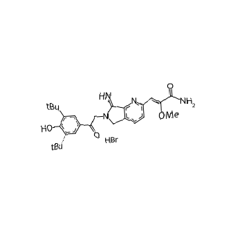 Br.CO/C(=C\c1ccc2c(n1)C(=N)N(CC(=O)c1cc(C(C)(C)C)c(O)c(C(C)(C)C)c1)C2)C(N)=O